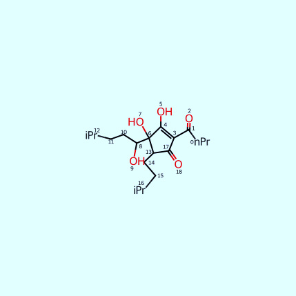 CCCC(=O)C1=C(O)C(O)(C(O)CCC(C)C)C(CCC(C)C)C1=O